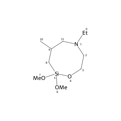 CCN1CCO[Si](OC)(OC)CC(C)C1